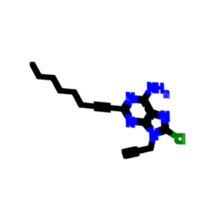 C#CCn1c(Cl)nc2c(N)nc(C#CCCCCCC)nc21